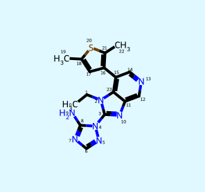 CCn1c(-n2ncnc2N)nc2cncc(-c3cc(C)sc3C)c21